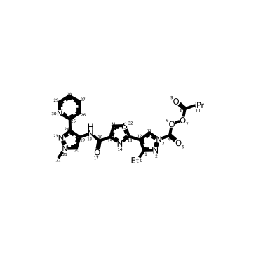 CCc1nn(C(=O)OOC(=O)C(C)C)cc1-c1nc(C(=O)Nc2cn(C)nc2-c2ccccn2)cs1